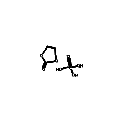 O=C1OCCO1.O=P(O)(O)O